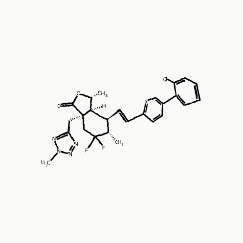 C[C@H]1OC(=O)[C@]2(Cc3nnn(C)n3)CC(F)(F)[C@@H](C)[C@H](/C=C/c3ccc(-c4ccccc4Cl)cn3)[C@H]12